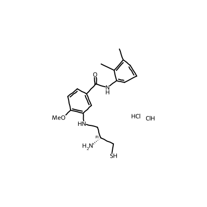 COc1ccc(C(=O)Nc2cccc(C)c2C)cc1NC[C@@H](N)CS.Cl.Cl